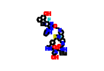 CCc1cccc2cc(O)cc(-c3ncc4c(N5CC6CCC(C5)N6)nc(OCCN5CCC(CC6(F)CCN(CC(=O)N[C@H](C(=O)N7C[C@H](O)C[C@H]7C(=O)N[C@@H](C)c7ccc(-c8scnc8C)cc7)C(C)(C)C)CC6)CC5)nc4c3F)c12